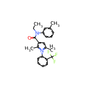 CCN(C(=O)c1cc(C)n(-c2ccccc2C(F)(F)F)c1C)c1cccc(C)c1